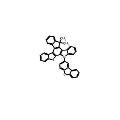 CC1(C)c2ccccc2-c2c1c1c3ccccc3n(-c3ccc4oc5ccccc5c4c3)c1c1sc3ccccc3c21